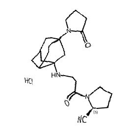 Cl.N#C[C@@H]1CCCN1C(=O)CNC12CC3CC1CC(N1CCCC1=O)(C3)C2